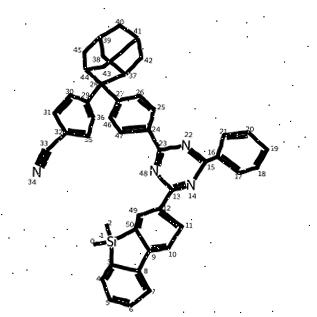 C[Si]1(C)c2ccccc2-c2ccc(-c3nc(-c4ccccc4)nc(-c4ccc(C5(c6ccc(C#N)cc6)C6CC7CC(C6)CC5C7)cc4)n3)cc21